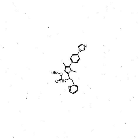 Cc1nc(C(Cc2ccccn2)NC(=O)OC(C)(C)C)n(C)c1-c1ccc(-n2ccnc2)cc1